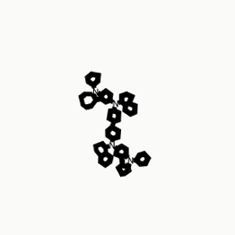 C1=Cc2c(n(-c3ccccc3)c3ccc(N(c4ccc(-c5ccc(N(C6=CCCc7ccccc76)c6ccc7c(c6)c6ccccc6n7-c6ccccc6)cc5)cc4)c4cccc5ccccc45)cc23)C=CC1